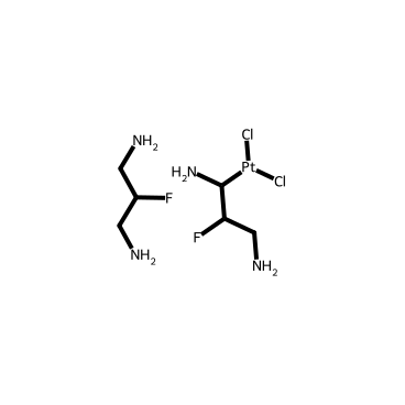 NCC(F)CN.NCC(F)[CH](N)[Pt]([Cl])[Cl]